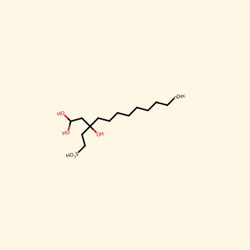 CCCCCCCCCCCCCCCCCCC(O)(CCS(=O)(=O)O)CC(O)O